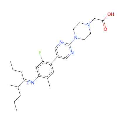 CCC/C(=N\c1cc(F)c(-c2cnc(N3CCN(CC(=O)O)CC3)nc2)cc1C)C(C)CCC